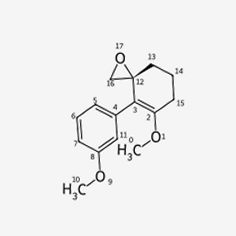 COC1=C(c2cccc(OC)c2)[C@]2(CCC1)CO2